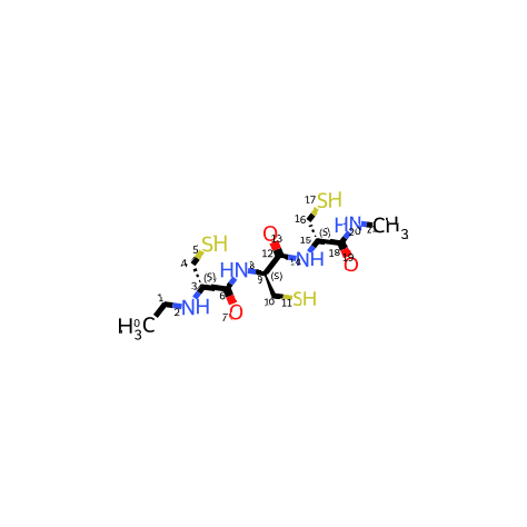 CCN[C@H](CS)C(=O)N[C@H](CS)C(=O)N[C@H](CS)C(=O)NC